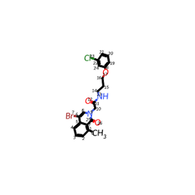 Cc1cccc2c(Br)cn(CC(=O)NCCCOc3cccc(Cl)c3)c(=O)c12